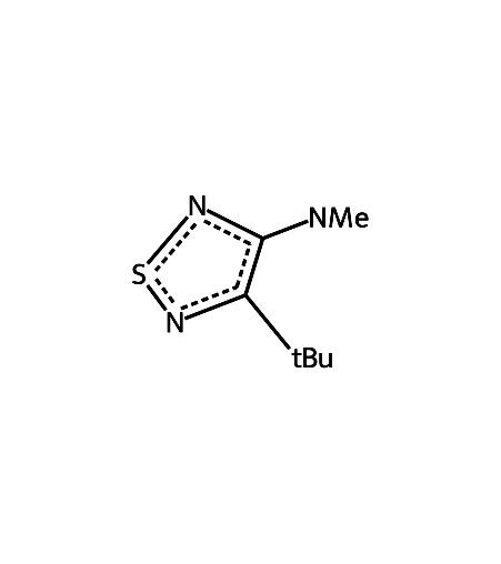 CNc1nsnc1C(C)(C)C